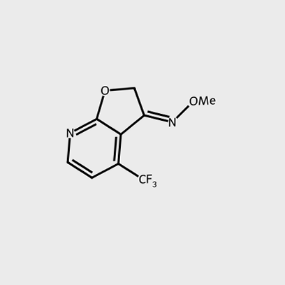 CON=C1COc2nccc(C(F)(F)F)c21